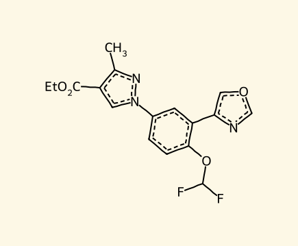 CCOC(=O)c1cn(-c2ccc(OC(F)F)c(-c3cocn3)c2)nc1C